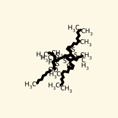 CCCCCCCCOC(=O)c1sc2c(-c3cc4c(-c5ccc(CCC(C)CCCC(C)C)s5)c5sc(C(C)C)cc5c(-c5ccc(CCC(C)CCCC(C)C)s5)c4s3)sc(C(C)(C)CC)c2c1F